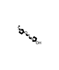 CSN1CC[C@H](OCSCN2CCC(O)C2)C1